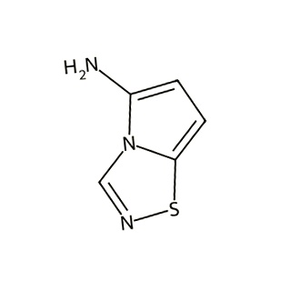 Nc1ccc2sncn12